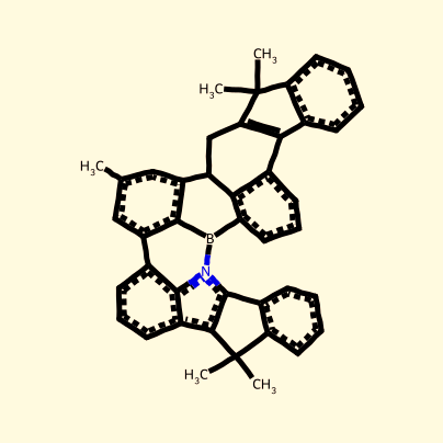 Cc1cc2c3c(c1)C1CC4=C(c5ccccc5C4(C)C)c4cccc(c41)B3n1c3c(c4cccc-2c41)C(C)(C)c1ccccc1-3